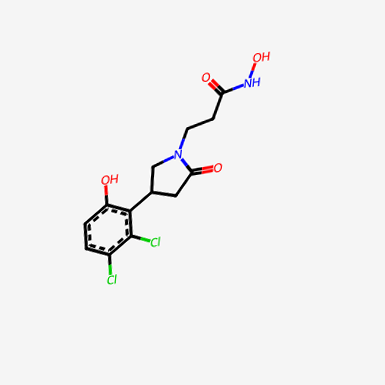 O=C(CCN1CC(c2c(O)ccc(Cl)c2Cl)CC1=O)NO